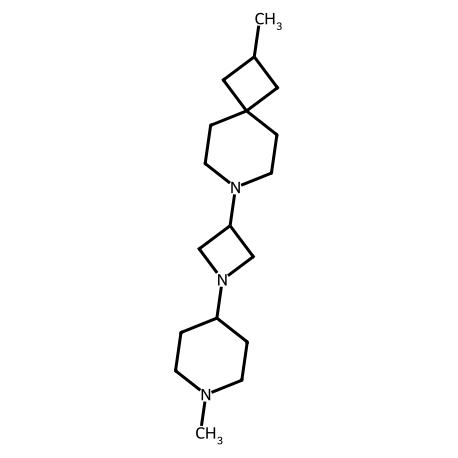 CC1CC2(CCN(C3CN(C4CCN(C)CC4)C3)CC2)C1